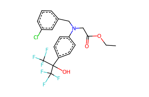 CCOC(=O)CN(Cc1cccc(Cl)c1)c1ccc(C(O)(C(F)(F)F)C(F)(F)F)cc1